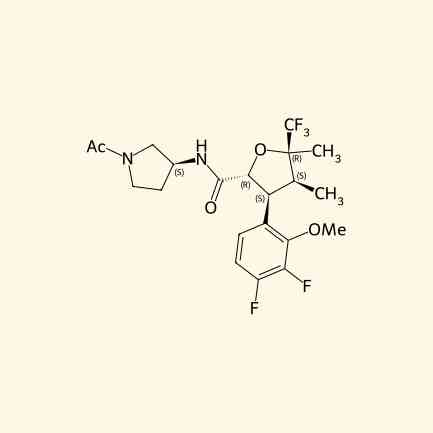 COc1c([C@H]2[C@H](C(=O)N[C@H]3CCN(C(C)=O)C3)O[C@@](C)(C(F)(F)F)[C@H]2C)ccc(F)c1F